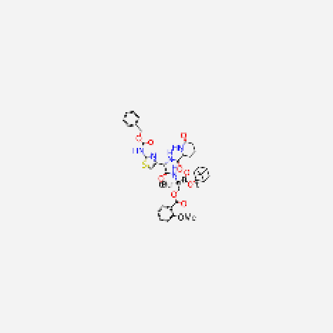 COc1ccccc1C(=O)OC[C@@](NC(=O)C(NC(=O)C1CCCC(=O)N1)c1csc(NC(=O)OCc2ccccc2)n1)(B1OC2CC3CC(C3(C)C)[C@]2(C)O1)C(C)(C)C